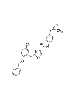 CN(C)Cc1ccc2nc(-c3coc(Cc4cc(Cl)ccc4OCc4ccccc4)n3)[nH]c2c1